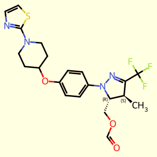 C[C@@H]1C(C(F)(F)F)=NN(c2ccc(OC3CCN(c4nccs4)CC3)cc2)[C@H]1COC=O